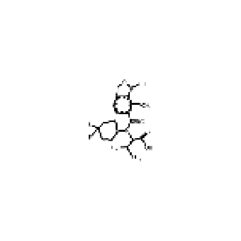 Cc1c(C(=O)N(C2CCC(F)(F)CC2)C(C(=O)O)C(C)C)ccc2c1B(O)OC2